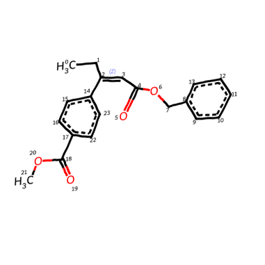 CC/C(=C/C(=O)OCc1ccccc1)c1ccc(C(=O)OC)cc1